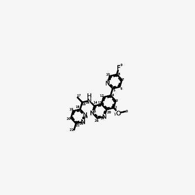 COc1cc(-c2ccc(F)cn2)cc2c(NC(C)c3ccc(C)nn3)ncnc12